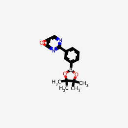 CC1(C)OB(c2cccc(-c3ncc4c(n3)O4)c2)OC1(C)C